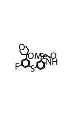 COC1(c2cc(F)cc(Sc3ccc4c(c3)SCC(=O)N4)c2)CCOCC1